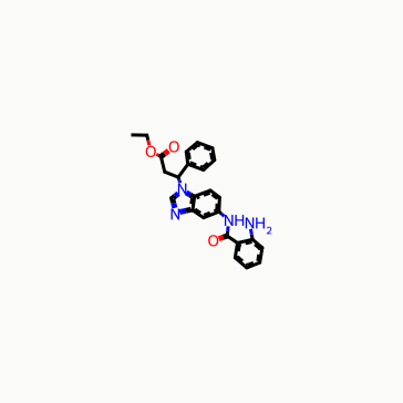 CCOC(=O)CC(c1ccccc1)n1cnc2cc(NC(=O)c3ccccc3N)ccc21